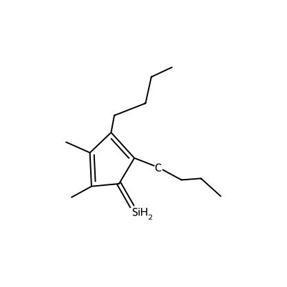 CCCCC1=C(CCCC)C(C)=C(C)C1=[SiH2]